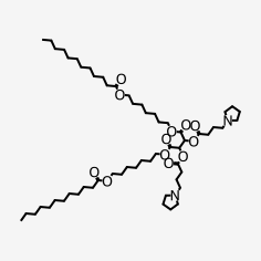 CCCCCCCCCCCC(=O)OCCCCCCCOC(=O)C(OC(=O)CCCN1CCCC1)C(OC(=O)CCCN1CCCC1)C(=O)OCCCCCCCOC(=O)CCCCCCCCCCC